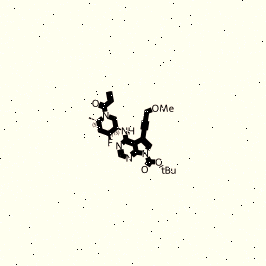 C=CC(=O)N1C[C@H](Nc2ncnc3c2c(C#CCOC)cn3C(=O)OC(C)(C)C)[C@@H](F)C[C@@H]1C